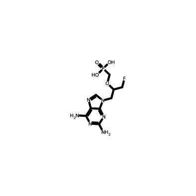 Nc1nc(N)c2ncn(CC(CF)OCP(=O)(O)O)c2n1